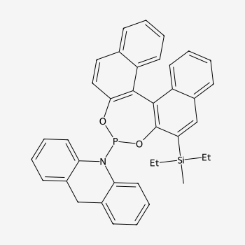 CC[Si](C)(CC)c1cc2ccccc2c2c1op(N1c3ccccc3Cc3ccccc31)oc1ccc3ccccc3c12